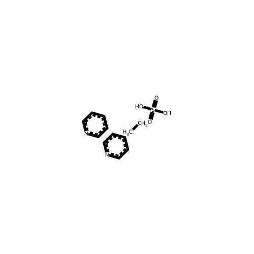 CC.O=S(=O)(O)O.c1ccncc1.c1ccncc1